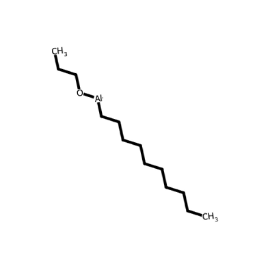 CCCCCCCCC[CH2][Al][O]CCC